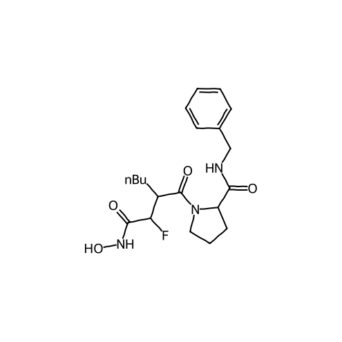 CCCCC(C(=O)N1CCCC1C(=O)NCc1ccccc1)C(F)C(=O)NO